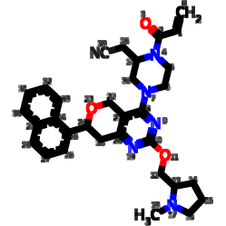 C=CC(=O)N1CCN(c2nc(OCC3CCCN3C)nc3c2COC(c2cccc4ccccc24)C3)CC1CC#N